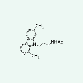 CC(=O)NCCCn1c2cc(C)ccc2c2ccnc(C)c21